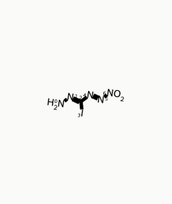 NN=C(I)N=N[N+](=O)[O-]